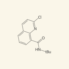 CC(C)(C)NC(=O)c1cccc2ccc(Cl)nc12